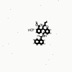 CCC1CC(c2ccccc2C(=O)OC)c2c(CN[C@H](C)c3cccc4ccccc34)cccc2O1.Cl